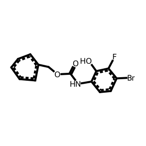 O=C(Nc1ccc(Br)c(F)c1O)OCc1ccccc1